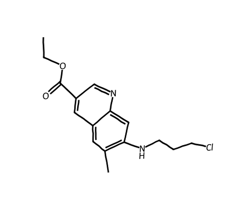 CCOC(=O)c1cnc2cc(NCCCCl)c(C)cc2c1